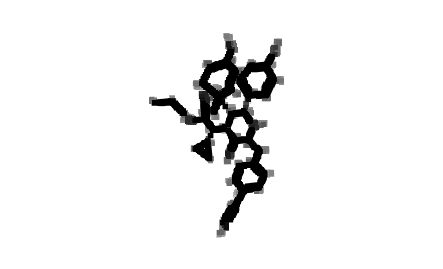 CCOC(=O)[C@@H](C1CC1)N1C(=O)[C@H](Cc2ccc(C#N)cc2)O[C@@H](c2ccc(Cl)cc2)[C@H]1C1(C)C=CC(Cl)=CC1